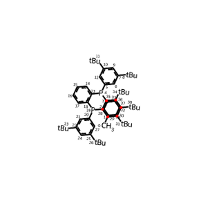 Cc1cc(P(c2cc(C(C)(C)C)cc(C(C)(C)C)c2)c2ccccc2P(c2cc(C(C)(C)C)cc(C(C)(C)C)c2)c2cc(C(C)(C)C)cc(C(C)(C)C)c2)cc(C(C)(C)C)c1